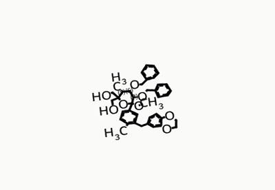 COC1(c2ccc(C)c(Cc3ccc4c(c3)OCCO4)c2)OC(CO)(CO)[C@@H](C)[C@H](OCc2ccccc2)[C@H]1OCc1ccccc1